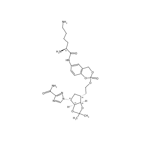 CC1(C)O[C@@H]2[C@@H](CCOP3(=O)OCc4cc(NC(=O)[C@@H](N)CCCCN)ccc4O3)C[C@@H](n3cnc(C(N)=O)n3)[C@@H]2O1